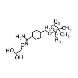 CC(C)(C)[Si](C)(C)OCC1CCC(C(N)=NOCC(O)O)CC1